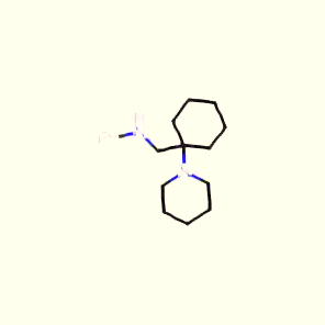 CC(C)NCC1(N2CCCCC2)CCCCC1